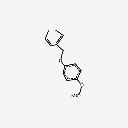 C/C=C\C(=C/C)COc1ccc(OSC)cc1